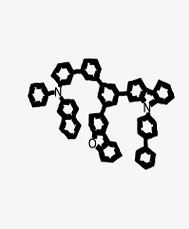 c1ccc(-c2ccc(-n3c4ccccc4c4ccc(-c5cc(-c6cccc(-c7cccc(N(c8ccccc8)c8ccc9ccccc9c8)c7)c6)cc(-c6ccc7oc8ccccc8c7c6)c5)cc43)cc2)cc1